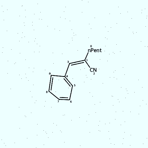 CCCCCC(C#N)=Cc1ccccc1